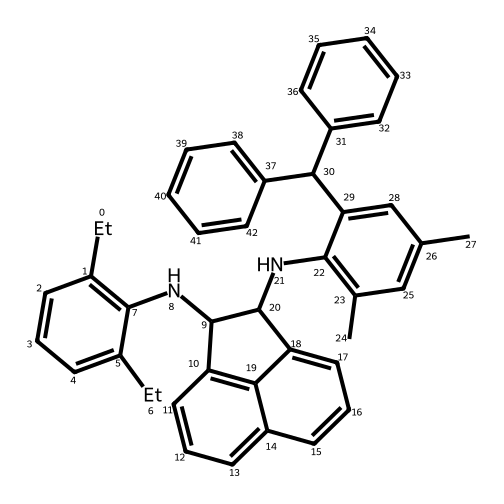 CCc1cccc(CC)c1NC1c2cccc3cccc(c23)C1Nc1c(C)cc(C)cc1C(c1ccccc1)c1ccccc1